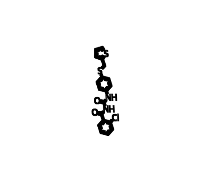 O=C(NC(=O)c1ccccc1Cl)Nc1ccc(SCc2cccs2)cc1